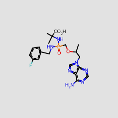 CC(Cn1cnc2c(N)ncnc21)OCP(=O)(NCc1cccc(F)c1)NC(C)(C)C(=O)O